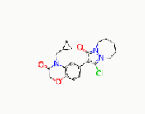 O=C1COc2ccc(-c3c(Cl)n4n(c3=O)CCCCC4)cc2N1CC1CC1